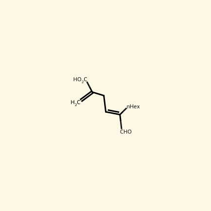 C=C(CC=C(C=O)CCCCCC)C(=O)O